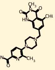 CNC(=O)c1ccc(N2CCN(Cc3cc(C=O)c4c(=O)n(C)c(=O)[nH]c4c3)CC2)c(C)n1